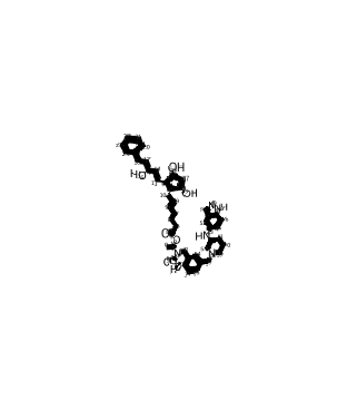 CC(OC(=O)CCCC=CC[C@@H]1[C@@H](CC[C@@H](O)CCc2ccccc2)[C@H](O)C[C@@H]1O)N(Cc1cccc(CN2CCC[C@H](Nc3ccc4[nH]ncc4c3)C2)c1)[SH](=O)=O